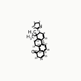 C1=NCCS1.CC1(C)CC=CC2=C1CCc1c2ccc2c1C(=O)CC=C2